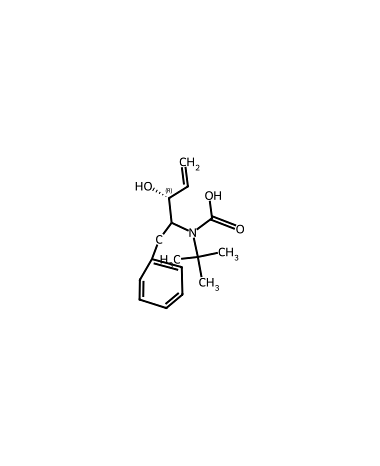 C=C[C@@H](O)C(Cc1ccccc1)N(C(=O)O)C(C)(C)C